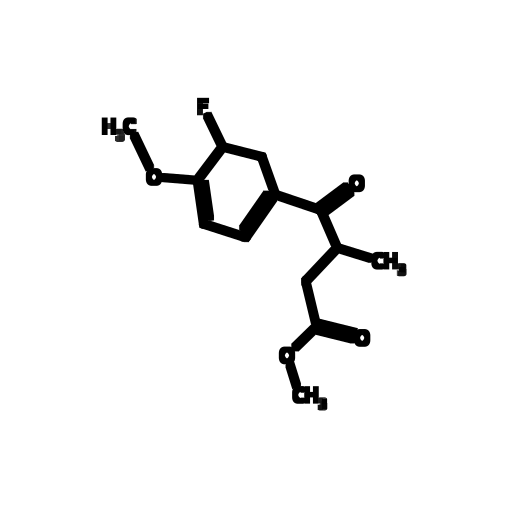 COC(=O)CC(C)C(=O)C1=CC=C(OC)C(F)C1